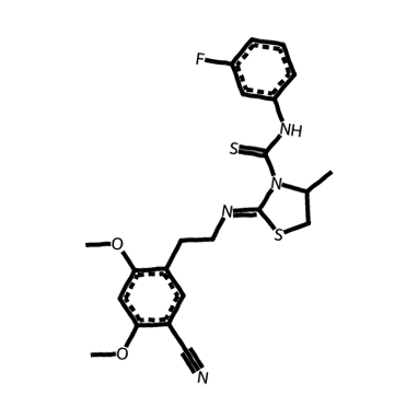 COc1cc(OC)c(CC/N=C2\SCC(C)N2C(=S)Nc2cccc(F)c2)cc1C#N